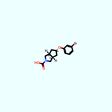 O=C(O)N1C[C@H]2C[C@@H](Oc3cccc(Br)c3)C[C@H]2C1